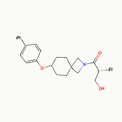 CC[C@H](CO)C(=O)N1CC2(CCC(Oc3ccc(C(C)C)cc3)CC2)C1